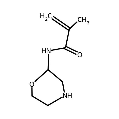 C=C(C)C(=O)NC1CNCCO1